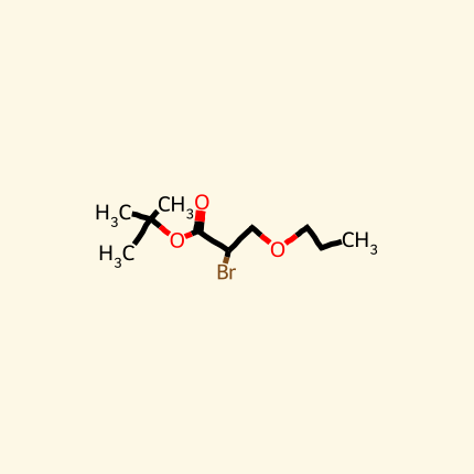 CCCOCC(Br)C(=O)OC(C)(C)C